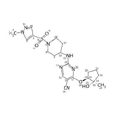 Cn1cc(S(=O)(=O)N2CCC(Nc3ncc(C#N)c(O[C@H]4CCC[C@@]4(C)O)n3)CC2)cn1